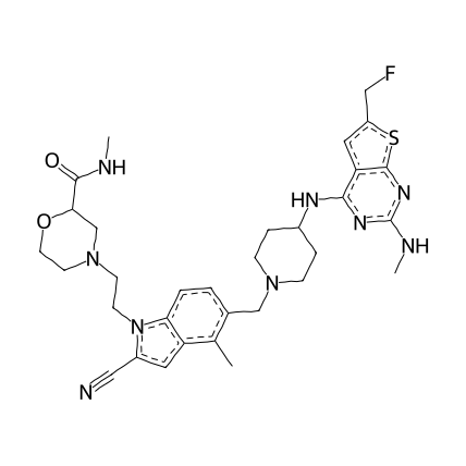 CNC(=O)C1CN(CCn2c(C#N)cc3c(C)c(CN4CCC(Nc5nc(NC)nc6sc(CF)cc56)CC4)ccc32)CCO1